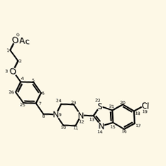 CC(=O)OCCOc1ccc(CN2CCN(c3nc4ccc(Cl)cc4s3)CC2)cc1